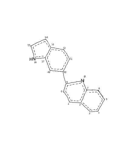 [c]1cc2ccccc2nc1-c1ccc2cc[nH]c2c1